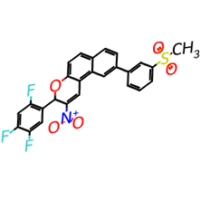 CS(=O)(=O)c1cccc(-c2ccc3ccc4c(c3c2)C=C([N+](=O)[O-])C(c2cc(F)c(F)cc2F)O4)c1